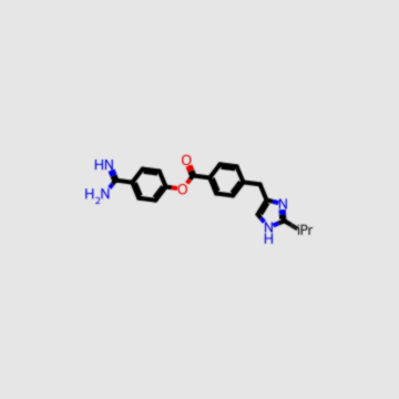 CC(C)c1nc(Cc2ccc(C(=O)Oc3ccc(C(=N)N)cc3)cc2)c[nH]1